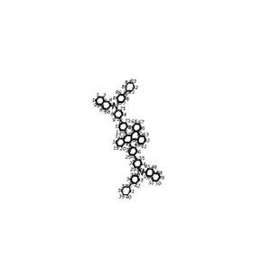 c1ccc2cc(N(c3ccc(-c4ccc(-c5c6ccccc6c(-c6ccc(-c7ccc(N(c8ccc(C9CCCCC9)cc8)c8ccc9ccccc9c8)cc7)cc6)c6c7ccccc7c7ccccc7c56)cc4)cc3)c3ccc(C4CCCCC4)cc3)ccc2c1